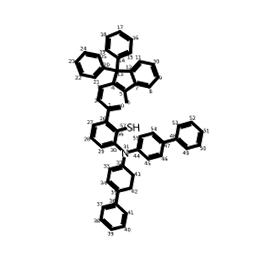 C=C(/C=C\C1=C(C)c2ccccc2C1(c1ccccc1)c1ccccc1)c1cccc(N(C2=CC=C(c3ccccc3)CC2)c2ccc(-c3ccccc3)cc2)c1S